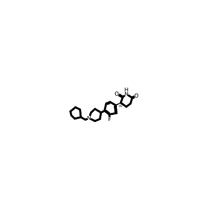 O=C1CC[C@@H](c2ccc(C3CCN(CC4CCCCC4)CC3)c(F)c2)C(=O)N1